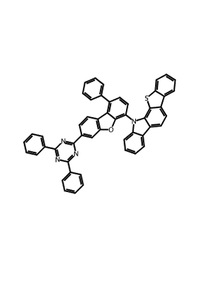 c1ccc(-c2nc(-c3ccccc3)nc(-c3ccc4c(c3)oc3c(-n5c6ccccc6c6ccc7c8ccccc8sc7c65)ccc(-c5ccccc5)c34)n2)cc1